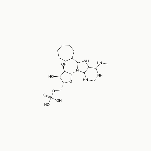 CNC1NCNC2C1NC(C1CCCCCC1)N2[C@@H]1O[C@H](COP(=O)(O)O)[C@@H](O)[C@H]1O